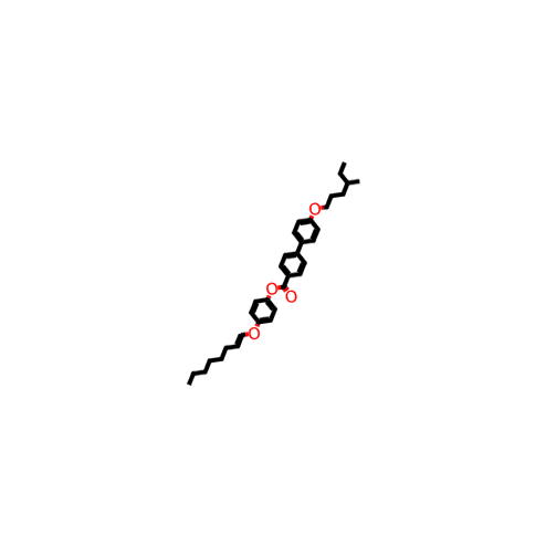 CCCCCCC=COc1ccc(OC(=O)c2ccc(-c3ccc(OCCCC(C)CC)cc3)cc2)cc1